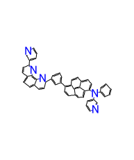 c1ccc(N(c2cccnc2)c2ccc3ccc4c(-c5cccc(-c6ccc7ccc8ccc(-c9cccnc9)nc8c7n6)c5)ccc5ccc2c3c54)cc1